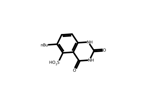 CCCCc1ccc2[nH]c(=O)[nH]c(=O)c2c1S(=O)(=O)O